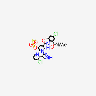 CNC(=O)c1cc(Cl)cc(C)c1NC(=O)C1=CC(O[SH](=O)=O)=CN(C2=NNCC2c2ncccc2Cl)C1